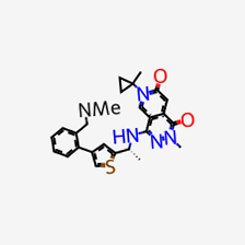 CNCc1ccccc1-c1csc([C@@H](C)Nc2nn(C)c(=O)c3cc(=O)n(C4(C)CC4)cc23)c1